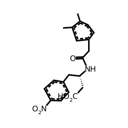 Cc1ccc(CC(=O)N[C@H](CC(=O)O)Cc2ccc([N+](=O)[O-])cc2)cc1C